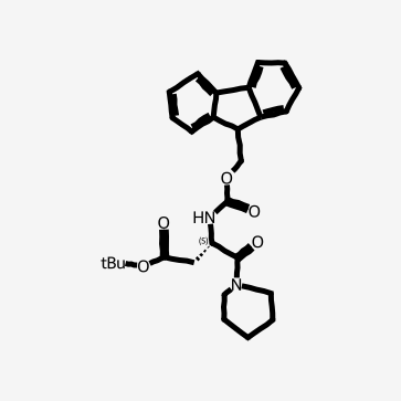 CC(C)(C)OC(=O)C[C@H](NC(=O)OCC1c2ccccc2-c2ccccc21)C(=O)N1CCCCC1